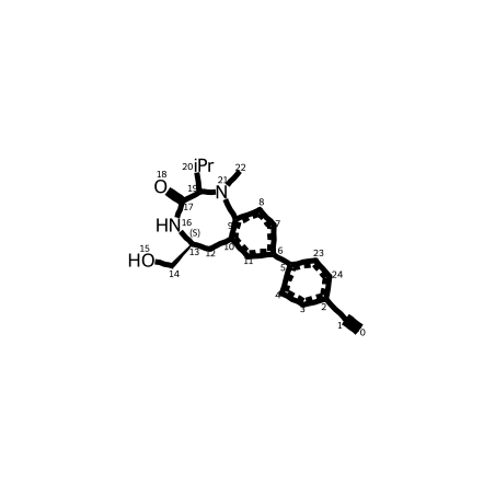 C#Cc1ccc(-c2ccc3c(c2)C[C@@H](CO)NC(=O)C(C(C)C)N3C)cc1